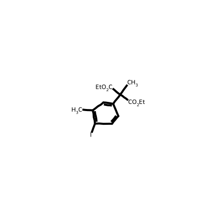 CCOC(=O)C(C)(C(=O)OCC)c1ccc(I)c(C)c1